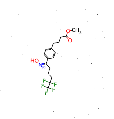 COC(=O)CCCc1ccc(/C(CCCC(F)(F)C(F)(F)F)=N\O)cc1